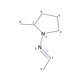 C/C=N/N1CCCC1C